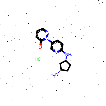 Cl.N[C@H]1CC[C@H](Nc2ccc(-n3ncccc3=O)cn2)C1